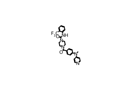 CN(c1ccncc1)c1ccc(C(=O)N2CCN(C(=O)Nc3ccccc3C(F)(F)F)CC2)cc1